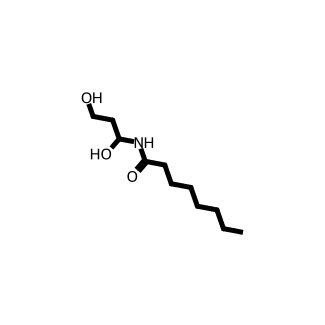 CCCCCCCC(=O)NC(O)CCO